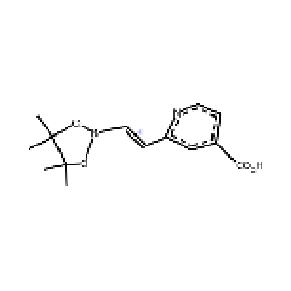 CC1(C)OB(/C=C/c2cc(C(=O)O)ccn2)OC1(C)C